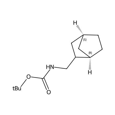 CC(C)(C)OC(=O)NCC1C[C@H]2CC[C@@H]1C2